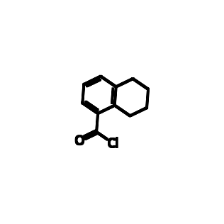 O=C(Cl)c1cccc2c1CCCC2